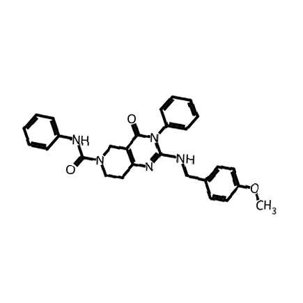 COc1ccc(CNc2nc3c(c(=O)n2-c2ccccc2)CN(C(=O)Nc2ccccc2)CC3)cc1